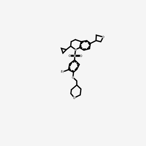 CCc1cc(S(=O)(=O)N2c3ccc(C4COC4)cc3CCC2C2CC2)ccc1OCC1CCOCC1